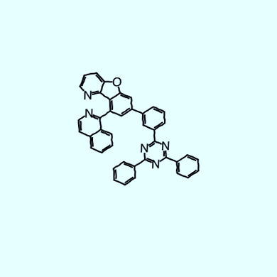 c1ccc(-c2nc(-c3ccccc3)nc(-c3cccc(-c4cc(-c5nccc6ccccc56)c5c(c4)oc4cccnc45)c3)n2)cc1